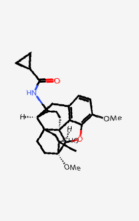 COc1ccc2c3c1O[C@@H]1[C@]34CCC(NC(=O)C3CC3)[C@H](C2)C42CC[C@@]1(OC)[C@@](C)(C=O)C2